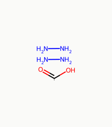 NN.NN.O=[C]O